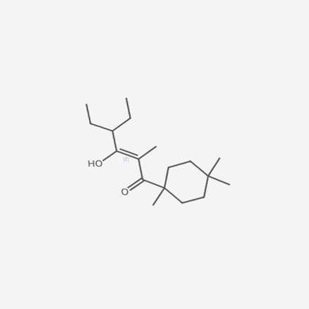 CCC(CC)/C(O)=C(\C)C(=O)C1(C)CCC(C)(C)CC1